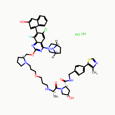 Cc1ncsc1-c1ccc(CNC(=O)[C@@H]2C[C@@H](O)CN2C(=O)[C@@H](NCCCOCCCN2CCC[C@H]2COc2nc(N3C[C@H]4CC[C@@H](C3)N4)c3cc(Cl)c(-c4cc(O)cc5ccccc45)c(F)c3n2)C(C)(C)C)cc1.Cl.Cl